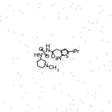 CC(C)c1cc(CC(=O)NS(=O)(=O)NC2CCCN(C)C2)c(C(C)C)s1